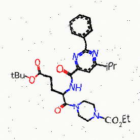 CCOC(=O)N1CCN(C(=O)C(CCC(=O)OC(C)(C)C)NC(=O)c2cc(C(C)C)nc(-c3ccccc3)n2)CC1